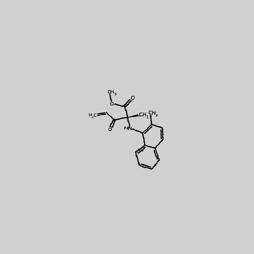 C=CC(=O)[C@@](C)(Nc1c(C)ccc2ccccc12)C(=O)OC